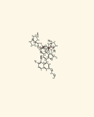 C#Cc1c(F)ccc2cc(OCOC)cc(-c3cc4nc(OC[C@@]56CCCN5C[C@H](F)C6)nc(N5C[C@H]6CC[C@@H](C5)N6C(=O)OC(C)(C)C)c4c4cc(C)oc34)c12